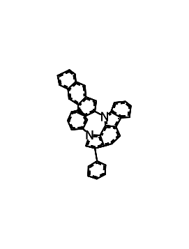 c1ccc(-c2cn(-c3ccccc3)c3c2ccc2c4ccccc4n(-c4ccc5cc6ccccc6cc5c4)c23)cc1